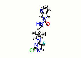 O=C(NCC[C@@H]1[C@H]2CN(c3nc(Cl)ncc3F)C[C@@H]12)N1Cc2cccnc2C1